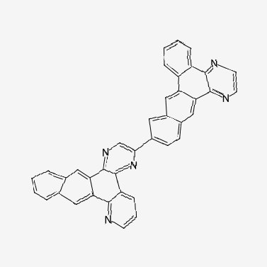 c1ccc2cc3c(cc2c1)c1ncccc1c1nc(-c2ccc4cc5c(cc4c2)c2ccccc2c2nccnc52)cnc31